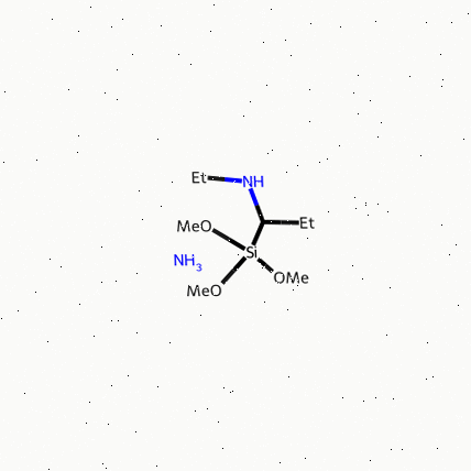 CCNC(CC)[Si](OC)(OC)OC.N